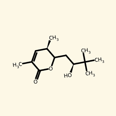 CC1=C[C@@H](C)C(C[C@H](O)C(C)(C)C)OC1=O